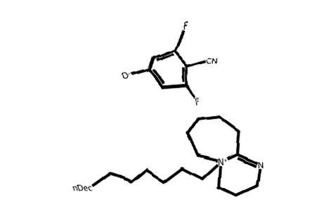 CCCCCCCCCCCCCCCC[N+]12CCCCCC1=NCCC2.N#Cc1c(F)cc([O-])cc1F